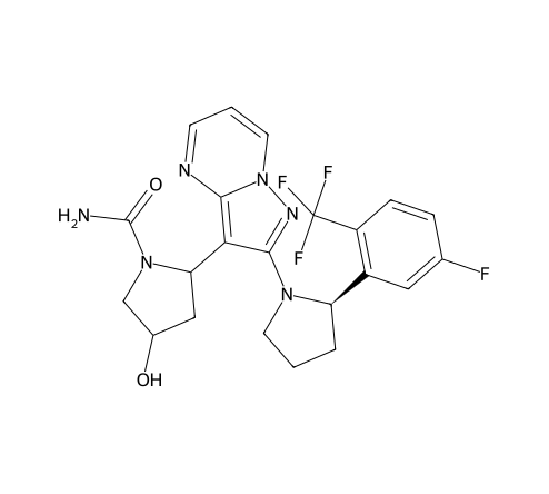 NC(=O)N1CC(O)CC1c1c(N2CCC[C@@H]2c2cc(F)ccc2C(F)(F)F)nn2cccnc12